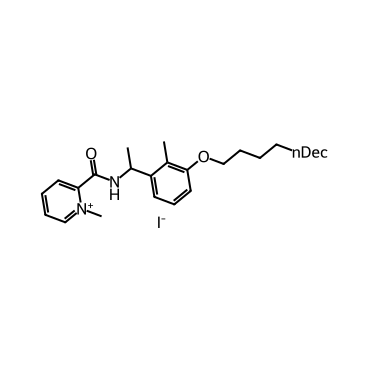 CCCCCCCCCCCCCCOc1cccc(C(C)NC(=O)c2cccc[n+]2C)c1C.[I-]